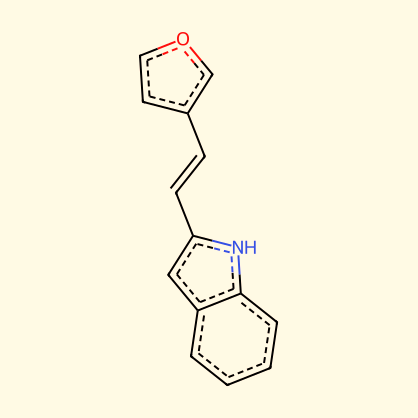 C(=Cc1cc2ccccc2[nH]1)c1ccoc1